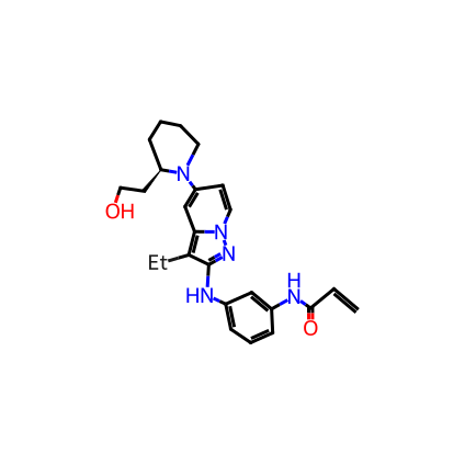 C=CC(=O)Nc1cccc(Nc2nn3ccc(N4CCCC[C@@H]4CCO)cc3c2CC)c1